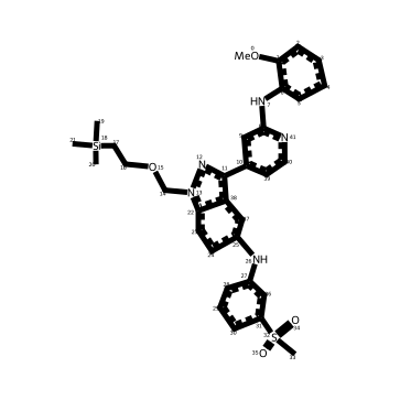 COc1ccccc1Nc1cc(-c2nn(COCC[Si](C)(C)C)c3ccc(Nc4cccc(S(C)(=O)=O)c4)cc23)ccn1